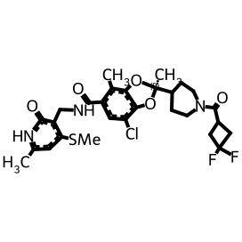 CSc1cc(C)[nH]c(=O)c1CNC(=O)c1cc(Cl)c2c(c1C)O[C@@](C)(C1CCN(C(=O)C3CC(F)(F)C3)CC1)O2